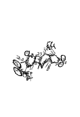 CCNCc1c2c(nc3cc4c(cc13)OCO4)-c1cc3c(c(=O)n1C2)COC(=O)[C@@]3(CC)OC(C)C